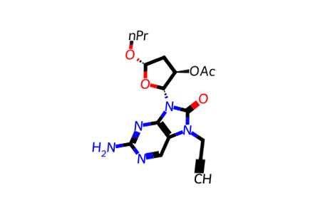 C#CCn1c(=O)n([C@@H]2O[C@H](OCCC)C[C@H]2OC(C)=O)c2nc(N)ncc21